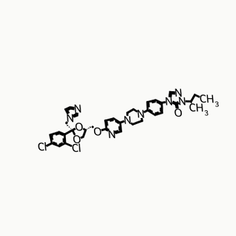 CC[C@H](C)n1ncn(-c2ccc(N3CCN(c4ccc(OC[C@@H]5CO[C@@](Cn6ccnc6)(c6ccc(Cl)cc6Cl)O5)nc4)CC3)cc2)c1=O